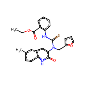 CCOC(=O)c1ccccc1NC(=S)N(Cc1ccco1)c1cc2cc(C)ccc2[nH]c1=O